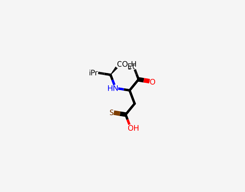 CCC(=O)C(CC(O)=S)N[C@H](C(=O)O)C(C)C